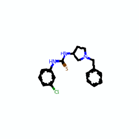 S=C(Nc1cccc(Cl)c1)NC1CCN(Cc2ccccc2)C1